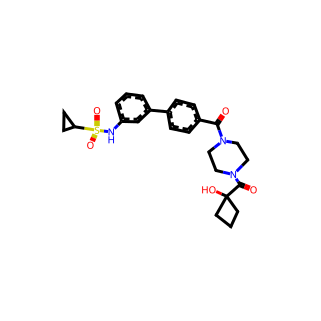 O=C(c1ccc(-c2cccc(NS(=O)(=O)C3CC3)c2)cc1)N1CCN(C(=O)C2(O)CCC2)CC1